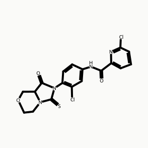 O=C(Nc1ccc(N2C(=O)C3COCCN3C2=S)c(Cl)c1)c1cccc(Cl)n1